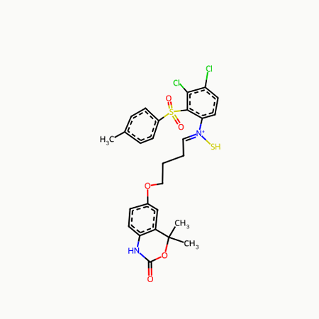 Cc1ccc(S(=O)(=O)c2c([N+](S)=CCCCOc3ccc4c(c3)C(C)(C)OC(=O)N4)ccc(Cl)c2Cl)cc1